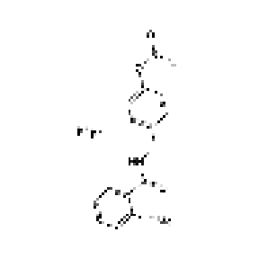 COc1ccccc1C(=O)NCc1ccc(OB([O-])[O-])cc1.[K+].[K+]